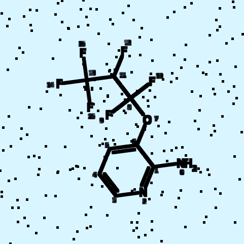 Nc1ncccc1OC(F)(F)C(F)C(F)(F)F